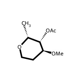 CO[C@H]1CCO[C@H](C)[C@@H]1OC(C)=O